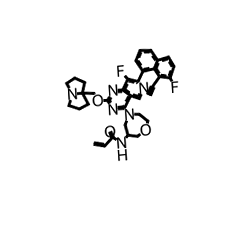 C#Cc1c(F)ccc2cccc(-c3ncc4c(N5CCOCC(NC(=O)C=C)C5)nc(OCC56CCCN5CCC6)nc4c3F)c12